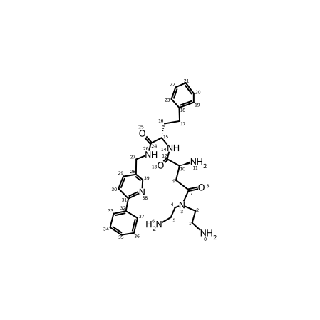 NCCN(CCN)C(=O)C[C@H](N)C(=O)N[C@@H](CCc1ccccc1)C(=O)NCc1ccc(-c2ccccc2)nc1